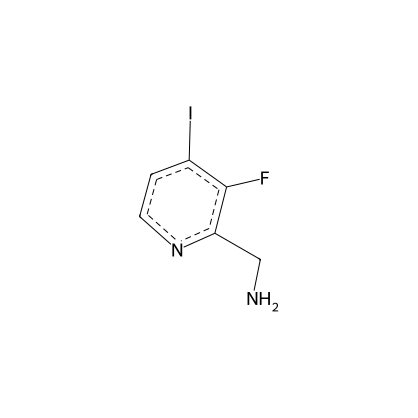 NCc1nccc(I)c1F